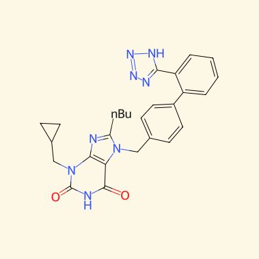 CCCCc1nc2c(c(=O)[nH]c(=O)n2CC2CC2)n1Cc1ccc(-c2ccccc2-c2nnn[nH]2)cc1